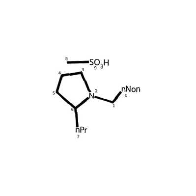 CCCCCCCCCCN1CCCC1CCC.CS(=O)(=O)O